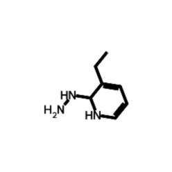 CCC1=CC=CNC1NN